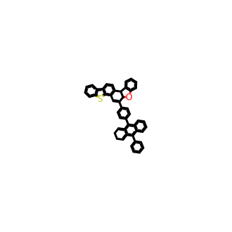 C1=C(c2ccc(-c3c4c(c(-c5ccccc5)c5ccccc35)=CCCC=4)cc2)C2Oc3ccccc3C2c2ccc3c(sc4ccccc43)c21